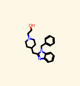 OCCN1CCC(Cc2nc3ccccc3n2Cc2ccccc2)CC1